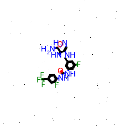 N=C(C(N)=O)/C(=C\N)NCc1cc(F)cc(NC(=O)Nc2ccc(C(F)(F)F)cc2F)c1